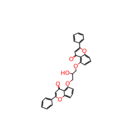 O=c1cc(-c2ccccc2)oc2cccc(OCC(O)COc3cccc4oc(-c5ccccc5)cc(=O)c34)c12